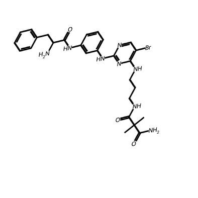 CC(C)(C(N)=O)C(=O)NCCCNc1nc(Nc2cccc(NC(=O)C(N)Cc3ccccc3)c2)ncc1Br